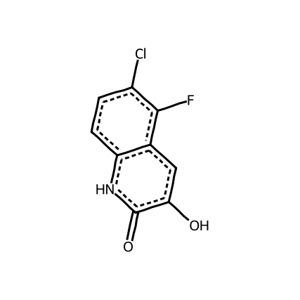 O=c1[nH]c2ccc(Cl)c(F)c2cc1O